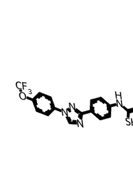 O=C(S)Nc1ccc(-c2ncn(-c3ccc(OC(F)(F)F)cc3)n2)cc1